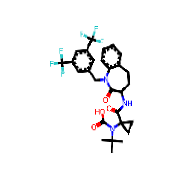 CC(C)(C)N(C(=O)O)C1(C(=O)NC2CCc3ccccc3N(Cc3cc(C(F)(F)F)cc(C(F)(F)F)c3)C2=O)CC1